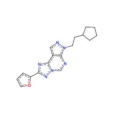 c1coc(-c2nc3c4cnn(CCC5CCCC5)c4ncn3n2)c1